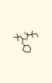 CCC(C)(C)C(=O)OC(CC(C)(C)C)OC1CCCCC1